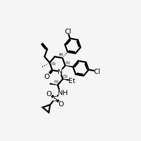 C=CC[C@@]1(C)C[C@H](c2cccc(Cl)c2)[C@@H](c2ccc(Cl)cc2)N([C@@H](CC)[C@H](C)NS(=O)(=O)C2CC2)C1=O